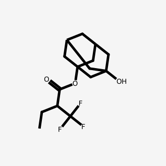 CCC(C(=O)OC12CC3CC(CC(O)(C3)C1)C2)C(F)(F)F